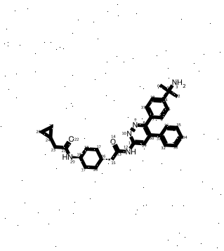 CC(C)(N)c1ccc(-c2nnc(NC(=O)C[C@H]3CC[C@H](NC(=O)CC4CC4)CC3)cc2-c2ccccc2)cc1